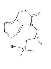 C[C@@H](CN1C(=O)CCc2ccccc21)C[Si](C)(C)C(C)(C)C